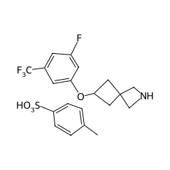 Cc1ccc(S(=O)(=O)O)cc1.Fc1cc(OC2CC3(CNC3)C2)cc(C(F)(F)F)c1